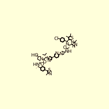 Cc1ncsc1-c1ccc([C@H](C)NC(=O)[C@@H]2C[C@@H](O)CN2C(=O)[C@H](C(C)C)n2cc(-c3ccc(N4CC(NC(=O)C[C@@H]5N=C(c6ccc(Cl)cc6)c6c(sc(C)c6C)-n6c(C)nnc65)C4)nc3)cn2)cc1